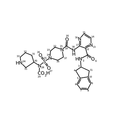 O=C(NC1Cc2ccccc2C1)c1nccnc1NC(=O)N1CCN(S(=O)(=O)N(C(=O)O)C2CCCNC2)CC1